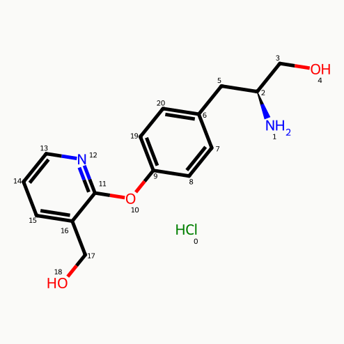 Cl.N[C@H](CO)Cc1ccc(Oc2ncccc2CO)cc1